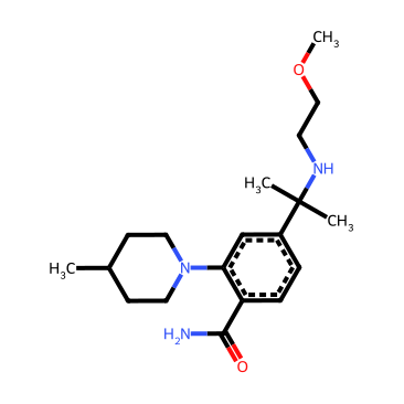 COCCNC(C)(C)c1ccc(C(N)=O)c(N2CCC(C)CC2)c1